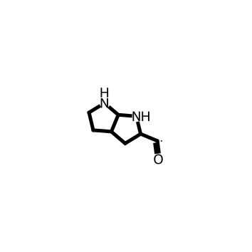 O=[C]C1CC2CCNC2N1